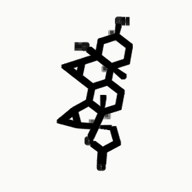 C[C@]12CCC3C(C4CC4C4(O)C[C@@H](O)CC[C@]34C)C1C1CC1[C@@]21CCC(=O)O1